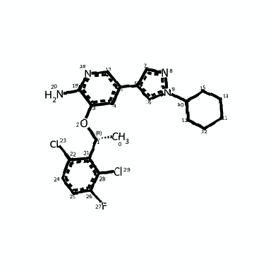 C[C@@H](Oc1cc(-c2cnn(C3CCCCC3)c2)cnc1N)c1c(Cl)ccc(F)c1Cl